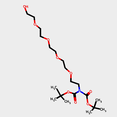 CC(C)(C)OC(=O)N(CCOCCOCCOCCOCCO)C(=O)OC(C)(C)C